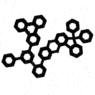 c1ccc(-c2cc(-c3ccccc3-c3ccc4c(c3)Oc3c(ccc5c3-c3ccccc3C5(c3ccccc3)c3ccccc3)O4)nc(-c3ccc4c5ccccc5c5ccccc5c4c3)n2)cc1